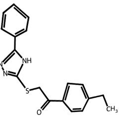 CCc1ccc(C(=O)CSc2nnc(-c3ccccc3)[nH]2)cc1